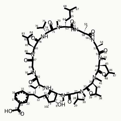 CC[C@@H]1NC(=O)[C@H]([C@H](O)[C@H](C)CCCc2cccc(C(=O)O)c2)N(C)C(=O)[C@H](C(C)C)N(C)C(=O)[C@H](CC(C)C)N(C)C(=O)[C@H](CC(C)C)N(C)C(=O)[C@H](C)NC(=O)[C@@H](C)NC(=O)[C@@H](CCC(C)C)N(C)C(=O)[C@@H](C(C)C)NC(=O)[C@H](CC(C)C)N(C)C(=O)CN(C)C1=O